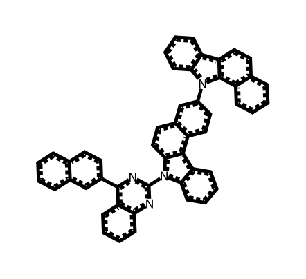 c1ccc2cc(-c3nc(-n4c5ccccc5c5c6ccc(-n7c8ccccc8c8ccc9ccccc9c87)cc6ccc54)nc4ccccc34)ccc2c1